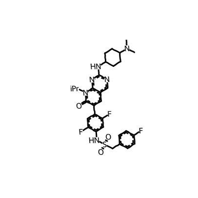 CC(C)n1c(=O)c(-c2cc(F)c(NS(=O)(=O)Cc3ccc(F)cc3)cc2F)cc2cnc(NC3CCC(N(C)C)CC3)nc21